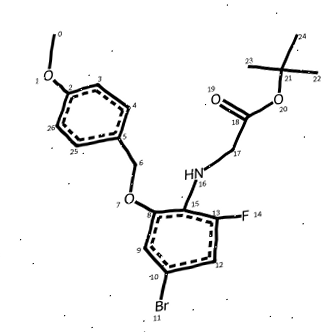 COc1ccc(COc2cc(Br)cc(F)c2NCC(=O)OC(C)(C)C)cc1